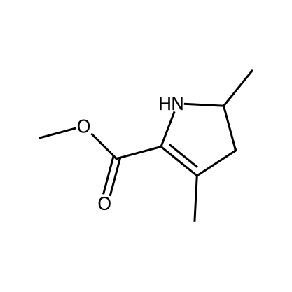 COC(=O)C1=C(C)CC(C)N1